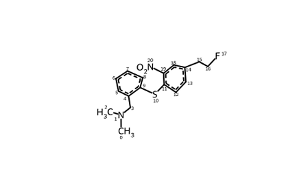 CN(C)Cc1ccccc1Sc1ccc(CCF)cc1[N+](=O)[O-]